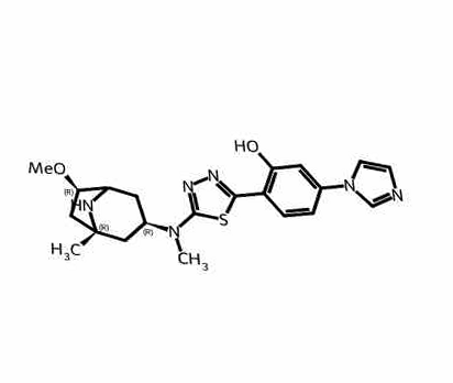 CO[C@@H]1C[C@@]2(C)C[C@H](N(C)c3nnc(-c4ccc(-n5ccnc5)cc4O)s3)CC1N2